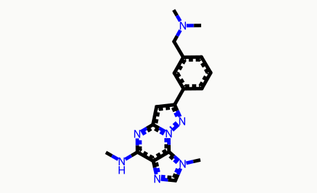 CNc1nc2cc(-c3cccc(CN(C)C)c3)nn2c2c1ncn2C